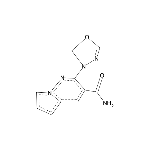 NC(=O)c1cc2cccn2nc1N1COC=N1